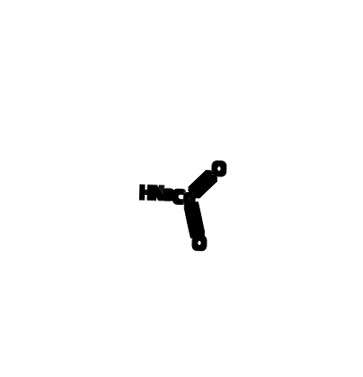 [NaH].[O]=[Co]=[O]